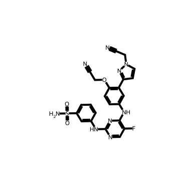 N#CCOc1ccc(Nc2nc(Nc3cccc(S(N)(=O)=O)c3)ncc2F)cc1-c1ccn(CC#N)n1